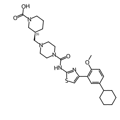 COc1ccc(C2CCCCC2)cc1-c1csc(NC(=O)N2CCN(C[C@@H]3CCCN(C(=O)O)C3)CC2)n1